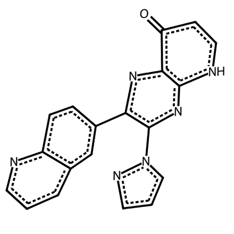 O=c1cc[nH]c2nc(-n3cccn3)c(-c3ccc4ncccc4c3)nc12